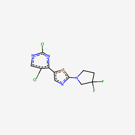 FC1(F)CCN(c2ncc(-c3nc(Cl)ncc3Cl)s2)C1